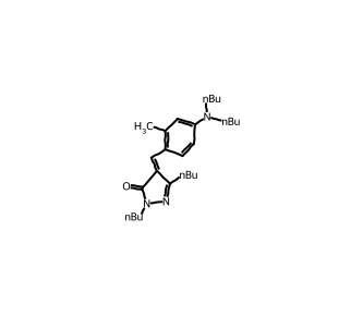 CCCCC1=NN(CCCC)C(=O)C1=Cc1ccc(N(CCCC)CCCC)cc1C